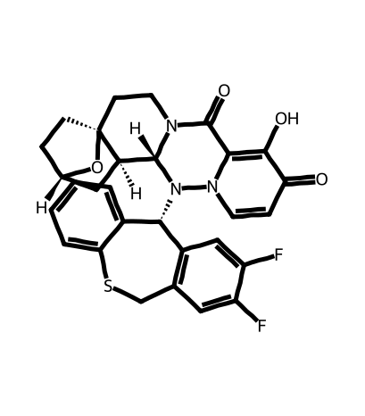 O=C1c2c(O)c(=O)ccn2N([C@@H]2c3cc(F)c(F)cc3CSc3ccccc32)[C@@H]2[C@H]3C[C@@H]4CC[C@@]3(CCN12)O4